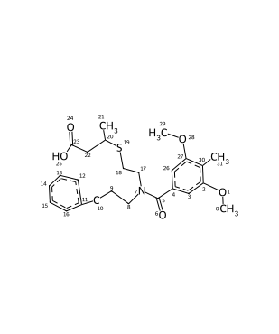 COc1cc(C(=O)N(CCCc2ccccc2)CCSC(C)CC(=O)O)cc(OC)c1C